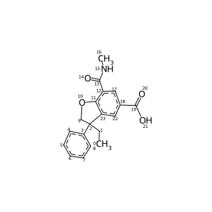 CCC1(c2ccccc2)COc2c(C(=O)NC)cc(C(=O)O)cc21